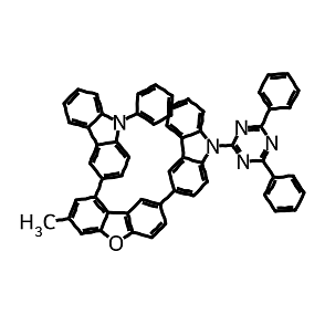 Cc1cc(-c2ccc3c(c2)c2ccccc2n3-c2ccccc2)c2c(c1)oc1ccc(-c3ccc4c(c3)c3ccccc3n4-c3nc(-c4ccccc4)nc(-c4ccccc4)n3)cc12